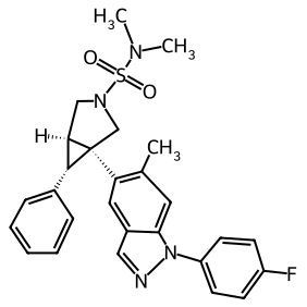 Cc1cc2c(cnn2-c2ccc(F)cc2)cc1[C@@]12CN(S(=O)(=O)N(C)C)C[C@@H]1[C@H]2c1ccccc1